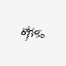 CCCN(C(=O)C1=C(CCCCOC)N(c2ccccc2F)NN1)[C@@H]1CNC[C@H](C(=O)N2CCOCC2)C1